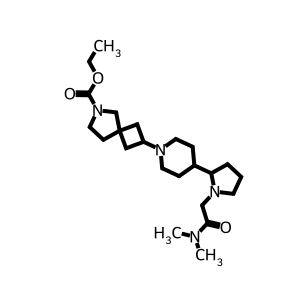 CCOC(=O)N1CCC2(CC(N3CCC(C4CCCN4CC(=O)N(C)C)CC3)C2)C1